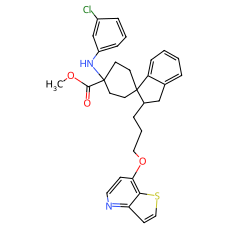 COC(=O)C1(Nc2cccc(Cl)c2)CCC2(CC1)c1ccccc1CC2CCCOc1ccnc2ccsc12